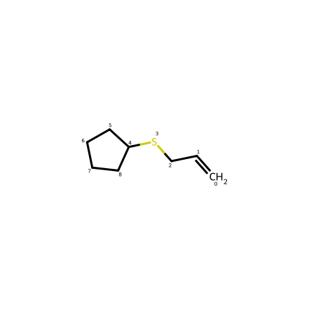 C=CCS[C]1CCCC1